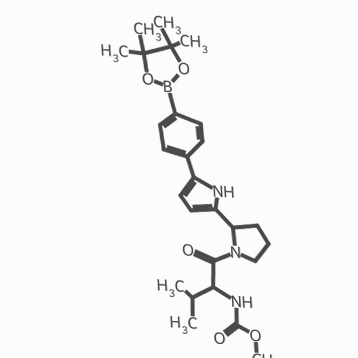 COC(=O)NC(C(=O)N1CCCC1c1ccc(-c2ccc(B3OC(C)(C)C(C)(C)O3)cc2)[nH]1)C(C)C